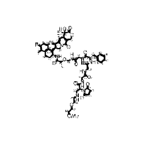 CC[C@@]1(O)C(=O)OCc2c1cc1n(c2=O)Cc2c-1nc1cc(F)c(C)c3c1c2[C@@H](NC(=O)[C@@H](C)OCNC(=O)CNC(=O)[C@H](Cc1ccccc1)NC(=O)CNC(=O)CNC(=O)C(CNCCOCCOC)N1C(=O)C=CC1=O)CC3